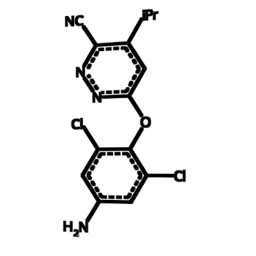 CC(C)c1cc(Oc2c(Cl)cc(N)cc2Cl)nnc1C#N